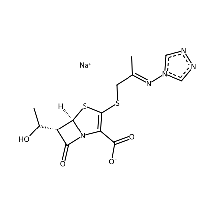 CC(CSC1=C(C(=O)[O-])N2C(=O)[C@H](C(C)O)[C@H]2S1)=Nn1cnnc1.[Na+]